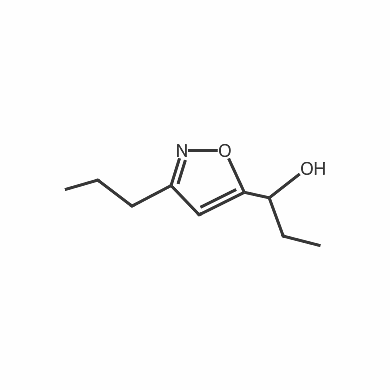 CCCc1cc(C(O)CC)on1